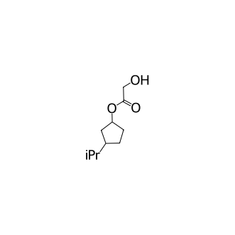 CC(C)C1CCC(OC(=O)CO)C1